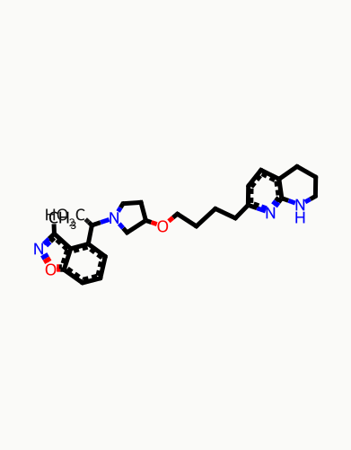 Cc1noc2cccc(C(C(=O)O)N3CCC(OCCCCc4ccc5c(n4)NCCC5)C3)c12